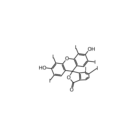 O=C1OC2(c3cc(I)c(O)c(I)c3Oc3c2cc(I)c(O)c3I)c2c1ccc(I)c2I